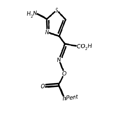 CCCCCC(=O)O/N=C(\C(=O)O)c1csc(N)n1